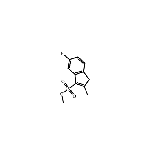 COS(=O)(=O)C1=C(C)Cc2ccc(F)cc21